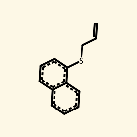 C=CCSc1cccc2ccccc12